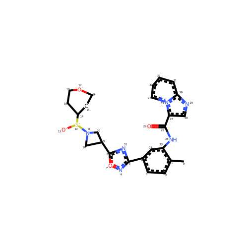 Cc1ccc(-c2noc(C3CN([S+]([O-])C4CCOCC4)C3)n2)cc1NC(=O)c1cnc2ccccn12